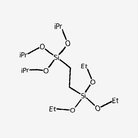 CCO[Si](CC[Si](OC(C)C)(OC(C)C)OC(C)C)(OCC)OCC